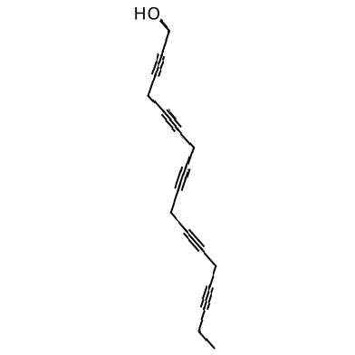 CCC#CCC#CCC#CCC#CCC#CCO